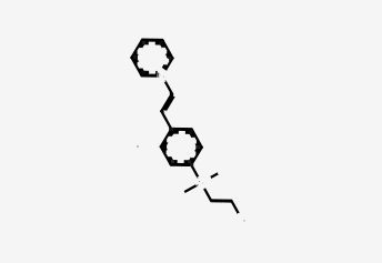 C[N+](C)(CCS)c1ccc(C=C[n+]2ccccc2)cc1.Cl